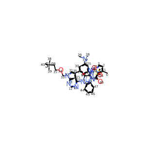 Cc1ccn2nc(C(C)Nc3ncnc4c3c(-c3cc(NS(C)(=O)=O)cc(N(C)C)c3)cn4COCC[Si](C)(C)C)n(-c3ccccc3)c(=O)c12